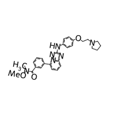 CON(C)C(=O)c1cccc(-c2cccc3nc(Nc4ccc(OCCN5CCCC5)cc4)nn23)c1